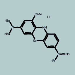 CCCCN(CCCC)c1cc(OC)c2c(c1)[Se]c1cc(N(CCC)CCC)ccc1N2.I